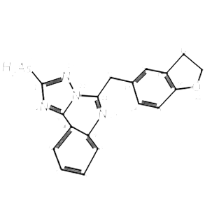 [AsH2]c1nc2c3ccccc3nc(Cc3ccc4c(c3)CCO4)n2n1